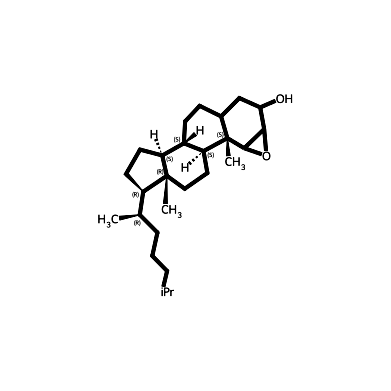 CC(C)CCC[C@@H](C)[C@H]1CC[C@H]2[C@@H]3CCC4CC(O)C5OC5[C@]4(C)[C@H]3CC[C@]12C